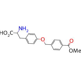 COC(=O)c1ccc(COc2ccc(CC(N)C(=O)O)cc2)cc1